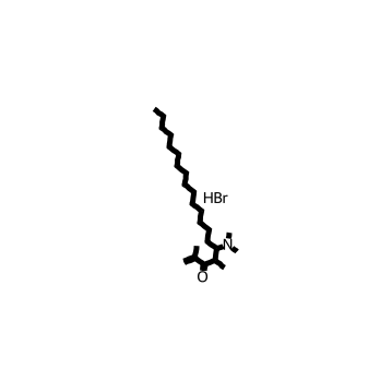 Br.C=C(C)C(=O)C(C)C(CCCCCCCCCCCCCCC)N(C)C